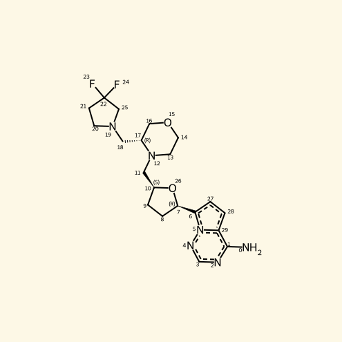 Nc1ncnn2c([C@H]3CC[C@@H](CN4CCOC[C@H]4CN4CCC(F)(F)C4)O3)ccc12